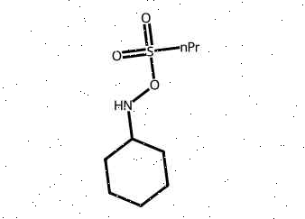 CCCS(=O)(=O)ONC1CCCCC1